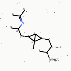 CCCCCCCC(C)[C@@H](C)C[C@@H]1C2C(CC(C)N=C(C)C)C21C